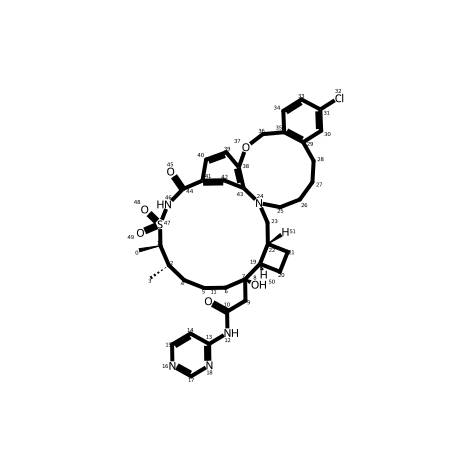 C[C@@H]1[C@@H](C)CCC[C@@](O)(CC(=O)Nc2ccncn2)[C@@H]2CC[C@H]2CN2CCCCc3cc(Cl)ccc3COc3ccc(cc32)C(=O)NS1(=O)=O